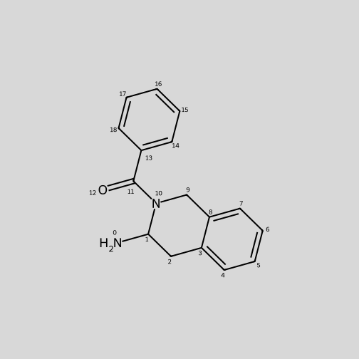 NC1Cc2ccccc2CN1C(=O)c1ccccc1